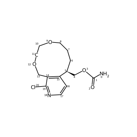 NC(=O)OC[C@@H]1CCCOCCOCc2c1ccnc2Cl